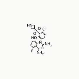 NCc1c(F)cccc1N(C(N)=O)c1ccc(Cl)c(S(=O)(=O)C2CNC2)c1O